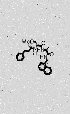 COC[C@H](NC(=O)CCc1ccccc1)C(=O)N[C@@H](C)C(=O)NCc1cccc2ccccc12